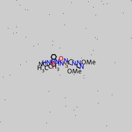 COc1cc(N2CCc3nc(NC(=O)Nc4ccccc4C(=O)NC(C)(C)C#N)sc3C2)nc(OC)n1